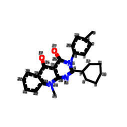 Cc1ccc(-n2c(C3CCCCC3)nc3c(c(=O)c4ccccc4n3C)c2=O)cc1